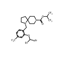 CCCC(CC)Oc1cc(C(F)(F)F)ccc1CN1CCCC12CCN(C(=O)OC(C(F)(F)F)C(F)(F)F)CC2